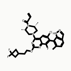 C=CC(=O)N1[C@H](C)CN(c2nc(OCCC3CC(F)(F)C3)nc3c(F)c(-c4c(C)ccc5cn[nH]c45)c(Cl)cc23)C[C@@H]1C